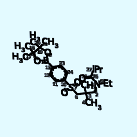 CCN(CC(C)(C)CS(=O)(=O)c1ccc(B2OC(C)(C)C(C)(C)O2)cc1)C(=O)C(C)C